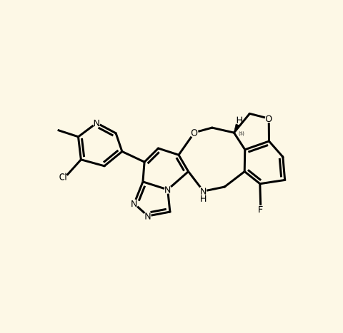 Cc1ncc(-c2cc3c(n4cnnc24)NCc2c(F)ccc4c2[C@@H](CO4)CO3)cc1Cl